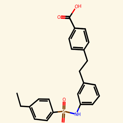 CCc1ccc(S(=O)(=O)Nc2cccc(CCc3ccc(C(=O)O)cc3)c2)cc1